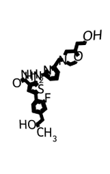 CC(O)Cc1ccc(-c2cc(C(N)=O)c(Nc3cccc(CN4CCOC(CCO)C4)n3)s2)c(F)c1